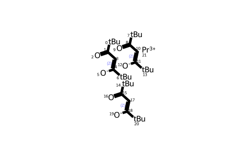 CC(C)(C)C(=O)/C=C(\[O-])C(C)(C)C.CC(C)(C)C(=O)/C=C(\[O-])C(C)(C)C.CC(C)(C)C(=O)/C=C(\[O-])C(C)(C)C.[Pr+3]